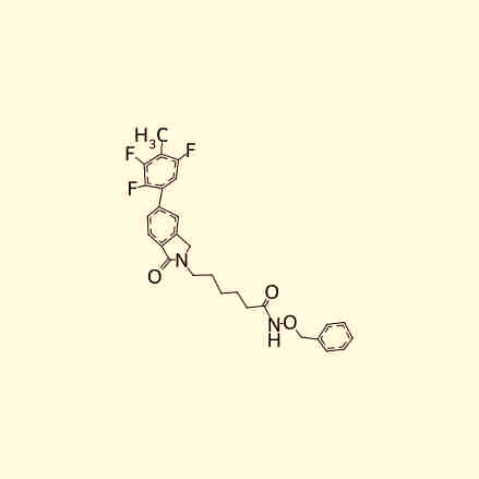 Cc1c(F)cc(-c2ccc3c(c2)CN(CCCCCC(=O)NOCc2ccccc2)C3=O)c(F)c1F